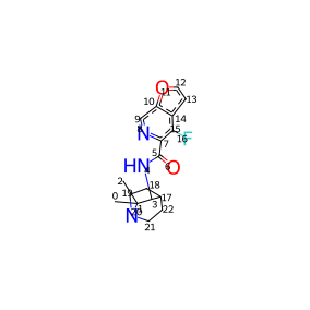 CC1(C)C(NC(=O)c2ncc3occc3c2F)C2CCN1CC2